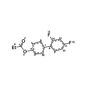 CCC(=O)Oc1ccc(-c2ccc(F)cc2F)cc1